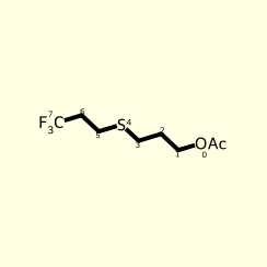 CC(=O)OCCCSCCC(F)(F)F